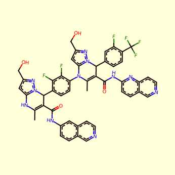 CC1=C(C(=O)Nc2ccc3cnccc3c2)C(c2ccc(N3C(C)=C(C(=O)Nc4ccc5cnccc5n4)C(c4ccc(C(F)(F)F)c(F)c4)n4nc(CO)cc43)c(F)c2F)n2nc(CO)cc2N1